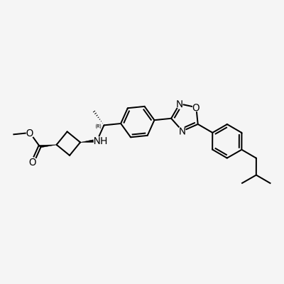 COC(=O)[C@H]1C[C@@H](N[C@H](C)c2ccc(-c3noc(-c4ccc(CC(C)C)cc4)n3)cc2)C1